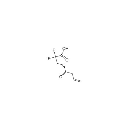 C=CCC(=O)OCC(F)(F)S(=O)O